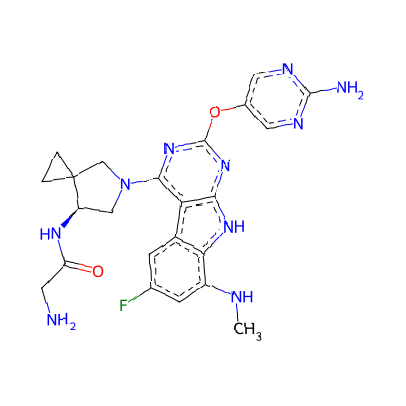 CNc1cc(F)cc2c1[nH]c1nc(Oc3cnc(N)nc3)nc(N3C[C@@H](NC(=O)CN)C4(CC4)C3)c12